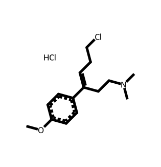 COc1ccc(C(=CCCCl)CCN(C)C)cc1.Cl